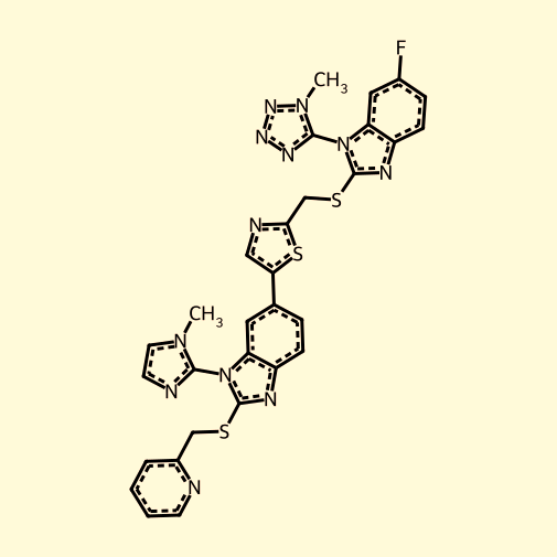 Cn1ccnc1-n1c(SCc2ccccn2)nc2ccc(-c3cnc(CSc4nc5ccc(F)cc5n4-c4nnnn4C)s3)cc21